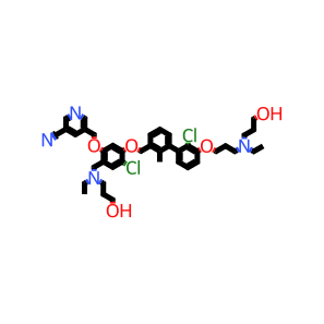 CCN(CCCO)CCCOc1cccc(-c2cccc(COc3cc(OCc4cncc(C#N)c4)c(CN(CC)CCCO)cc3Cl)c2C)c1Cl